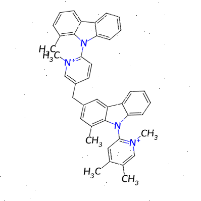 Cc1cc(-n2c3ccccc3c3cc(Cc4ccc(-n5c6ccccc6c6cccc(C)c65)[n+](C)c4)cc(C)c32)[n+](C)cc1C